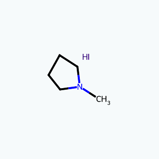 CN1CCCC1.I